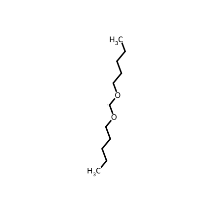 CCCCCO[CH]OCCCCC